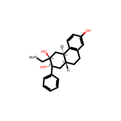 CC[C@@]12C[C@@](O)(CNC)[C@](O)(c3ccccc3)C[C@H]1CCc1cc(O)ccc12